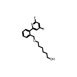 OCCCCCCOCc1ccccc1-c1cc(F)cc(F)n1